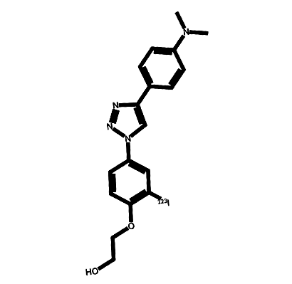 CN(C)c1ccc(-c2cn(-c3ccc(OCCO)c([123I])c3)nn2)cc1